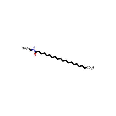 O=C(O)CCCCCCCCCCCCCCCCCCC(=O)NCC(=O)O